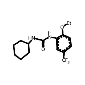 CCOc1ccc(C(F)(F)F)cc1NC(=O)NC1CCCCC1